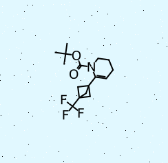 CC(C)(C)OC(=O)N1CCCC=C1C12CC(C(F)(F)F)(C1)C2